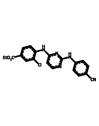 CCOC(=O)c1ccc(Nc2ccnc(Nc3ccc(C#N)cc3)n2)c(Cl)c1